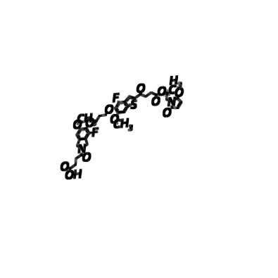 COc1cc2c(c(F)c1OCCCOc1c(OC)cc3sc(C(=O)CCC(=O)O[C@@H](C)CN4C(=O)C=CC4=O)cc3c1F)CN(C(=O)CCC(=O)O)C2